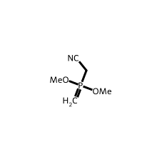 C=P(CC#N)(OC)OC